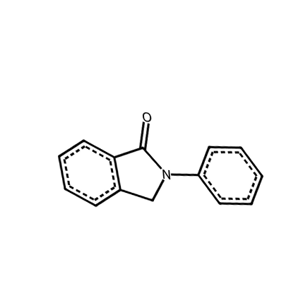 O=C1c2ccccc2CN1c1ccccc1